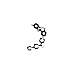 Cc1ccc2[nH]c(-c3cc(N4CCC(C(=O)N5CCC(N6CCCC6)CC5)CC4)ccc3F)nc2c1